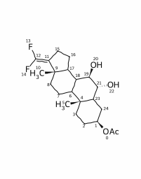 CC(=O)O[C@H]1CC[C@]2(C)C3CC[C@]4(C)C(=C(F)F)CCC4C3[C@@H](O)[C@H](O)C2C1